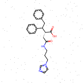 O=C(C[C@@H](C(=O)O)C(Cc1ccccc1)c1ccccc1)NCCCn1ccnc1